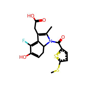 CSc1ccc(C(=O)N2C(C)=C(CC(=O)O)C3=C(F)C(O)=CCC32)s1